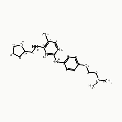 CN(C)CCOc1ccc(Nc2ncc(Cl)c(NCC3CCCO3)n2)cc1